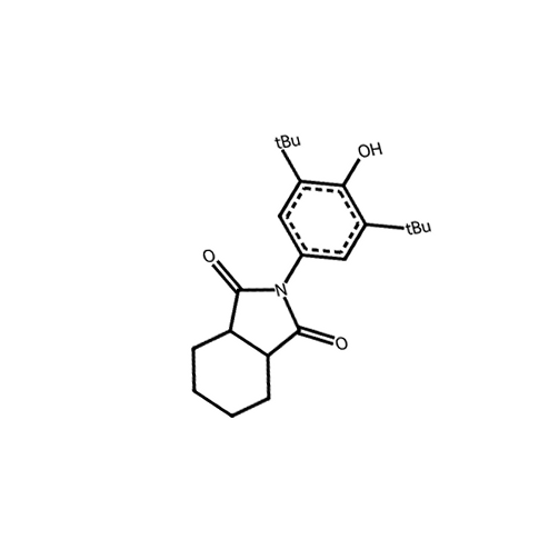 CC(C)(C)c1cc(N2C(=O)C3CCCCC3C2=O)cc(C(C)(C)C)c1O